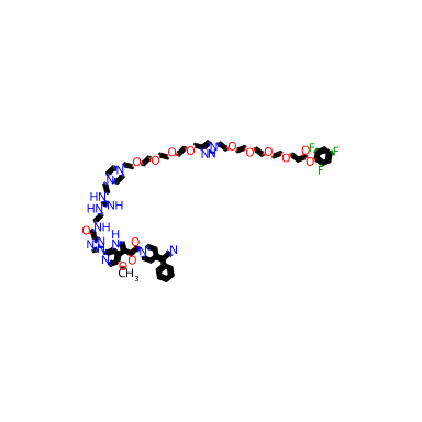 COc1cnc(-n2cnc(C(=O)NCCNC(=N)NCCN3CCN(CCOCCOCCOCCOCc4cn(CCOCCOCCOCCOCCC(=O)Oc5c(F)cc(F)cc5F)nn4)CC3)n2)c2[nH]cc(C(=O)C(=O)N3CCC(=C(C#N)c4ccccc4)CC3)c12